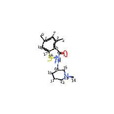 Cc1cc(C)c2c(=O)n(C3CCCN(C)C3)sc2c1